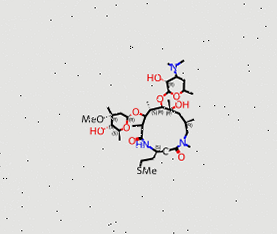 CO[C@]1(C)C[C@H](OC2C(C)C(=O)N[C@H](CCSC)CC(=O)N(C)C[C@H](C)C[C@@](C)(O)[C@H](OC3OC(C)CC(N(C)C)[C@H]3O)[C@H]2C)O[C@@H](C)[C@@H]1O